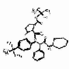 CC(C)(C)OC(=O)N1CCC(F)C1C(=O)N(c1ccc(C(C)(C)C)cc1)C(C(=O)NC1CCCCC1)c1cccnc1